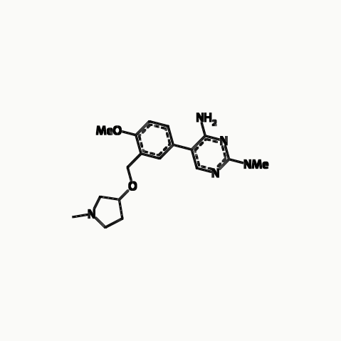 CNc1ncc(-c2ccc(OC)c(COC3CCN(C)C3)c2)c(N)n1